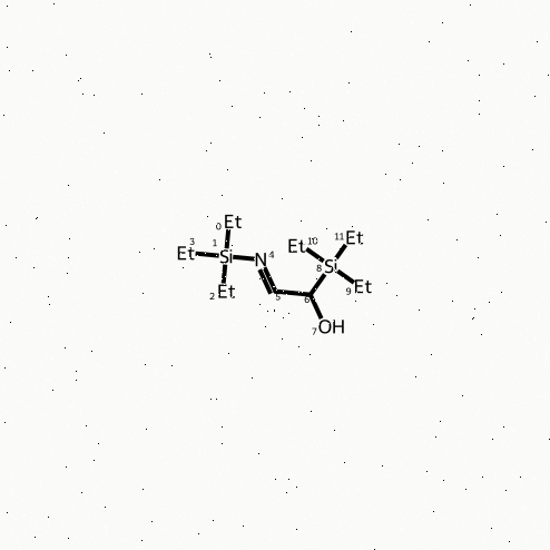 CC[Si](CC)(CC)N=CC(O)[Si](CC)(CC)CC